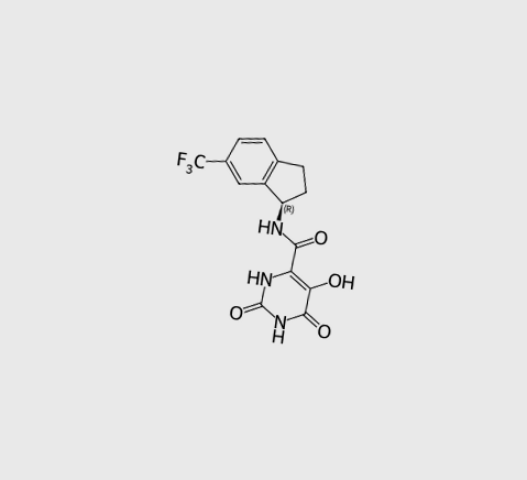 O=C(N[C@@H]1CCc2ccc(C(F)(F)F)cc21)c1[nH]c(=O)[nH]c(=O)c1O